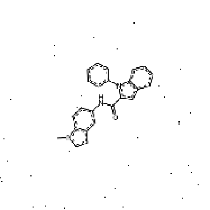 Cn1ccc2cc(NC(=O)c3cc4ccccc4n3-c3ccccc3)ccc21